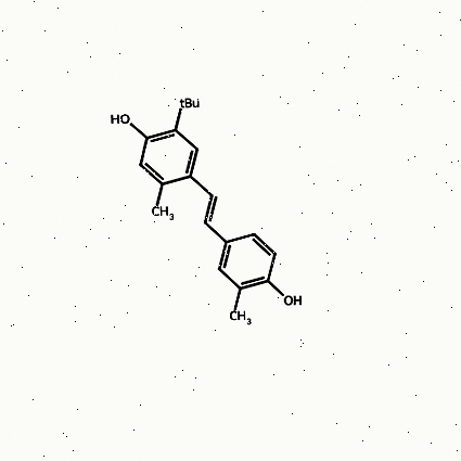 Cc1cc(C=Cc2cc(C(C)(C)C)c(O)cc2C)ccc1O